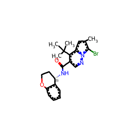 Cc1cc2c(C(C)(C)C)c(C(=O)N[C@H]3CCOc4ccccc43)cnn2c1Br